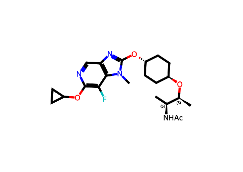 CC(=O)N[C@@H](C)[C@H](C)O[C@H]1CC[C@H](Oc2nc3cnc(OC4CC4)c(F)c3n2C)CC1